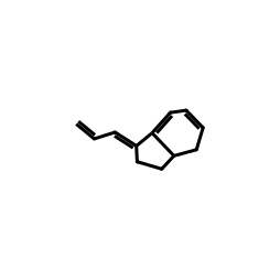 C=CC=C1CCC2CC=CC=C12